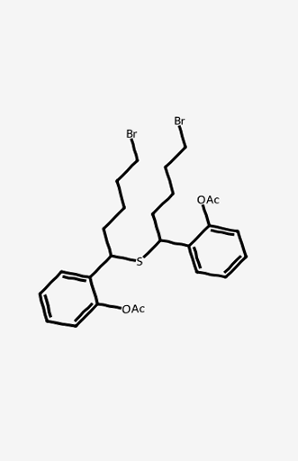 CC(=O)Oc1ccccc1C(CCCCBr)SC(CCCCBr)c1ccccc1OC(C)=O